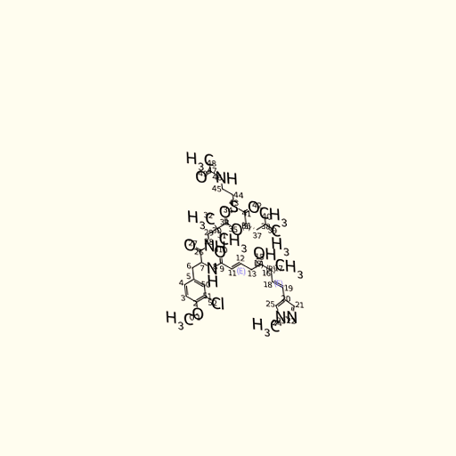 COc1ccc(CC(NC(=O)/C=C/C[C@H](O)[C@H](C)/C=C/c2cnn(C)c2)C(=O)NCC(C)(C)C(=O)O[C@@H](CC(C)C)C(=O)SCCNC(C)=O)cc1Cl